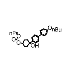 CCCCOc1ccc(-c2ccc(C3(O)CCC(OC(=O)OCCC)CC3)cc2)cc1